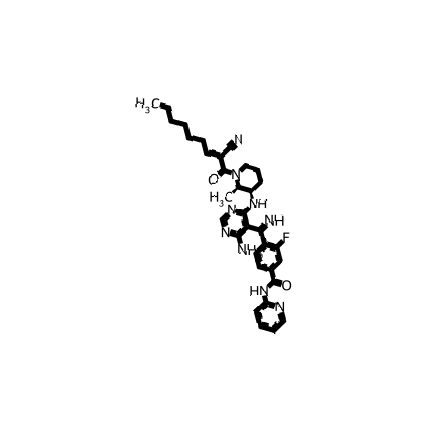 CCCCCC/C=C(\C#N)C(=O)N1CCC[C@@H](Nc2ncnc(N)c2C(=N)c2ccc(C(=O)Nc3ccccn3)cc2F)[C@H]1C